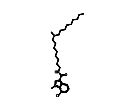 CCCCCCCCCN(C)CCCCCCCCNC(=O)c1cn(C)c2c(Cl)cccc12